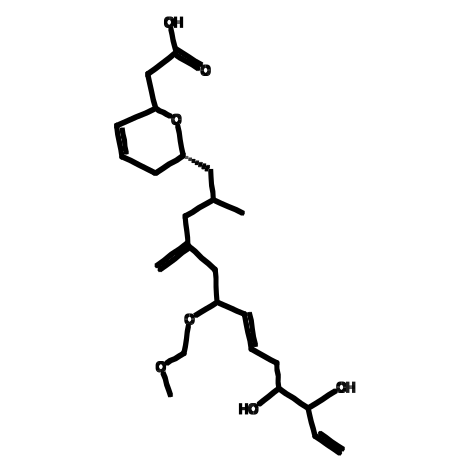 C=CC(O)C(O)C/C=C/C(CC(=C)CC(C)C[C@@H]1CC=CC(CC(=O)O)O1)OCOC